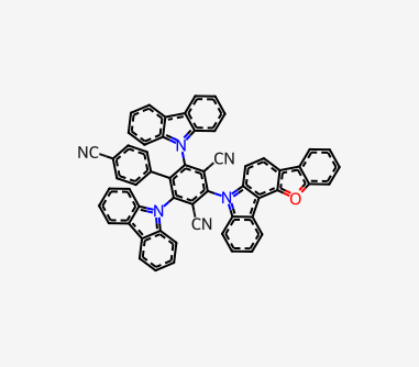 N#Cc1ccc(-c2c(-n3c4ccccc4c4ccccc43)c(C#N)c(-n3c4ccccc4c4c5oc6ccccc6c5ccc43)c(C#N)c2-n2c3ccccc3c3ccccc32)cc1